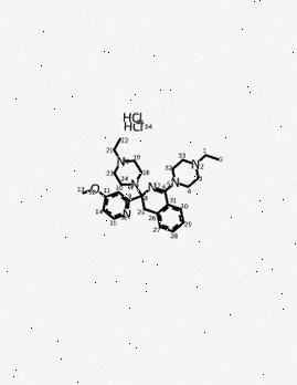 CCN1CCN(C2=NC(c3cc(OC)ccn3)(N3CCN(CC)CC3)Cc3ccccc32)CC1.Cl.Cl